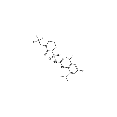 CC(C)c1cc(F)cc(C(C)C)c1NC(=O)NS(=O)(=O)C1CCCN(CC(F)(F)F)C1=O